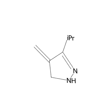 C=C1CNN=C1C(C)C